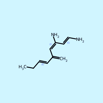 C=C(/C=C/CC)/C=C(N)\C=C\N